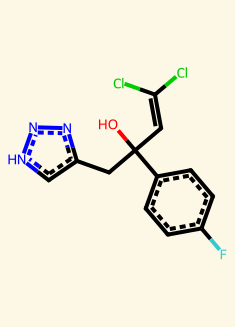 OC(C=C(Cl)Cl)(Cc1c[nH]nn1)c1ccc(F)cc1